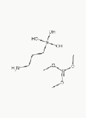 CO[SiH](OC)OC.NCCC[Si](O)(O)O